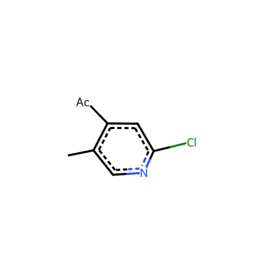 CC(=O)c1cc(Cl)ncc1C